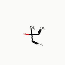 C=CC(C)([O])C=C